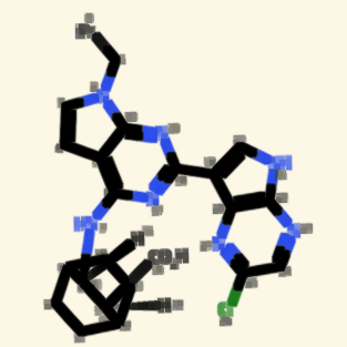 CC(C)Cn1ccc2c(N[C@H]3C4CCC(CC4)[C@@H]3C(=O)O)nc(-c3c[nH]c4ncc(Cl)nc34)nc21